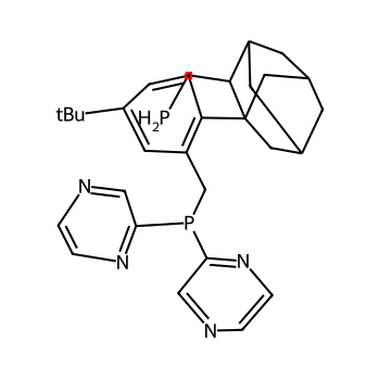 CC(C)(C)c1ccc(C23CC4CC(CC(C4)C2CP)C3)c(CP(c2cnccn2)c2cnccn2)c1